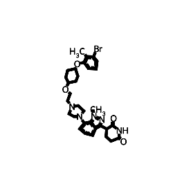 Cc1c(Br)cccc1OC1CCC(OCCN2CCN(c3cccc4c(C5CCC(=O)NC5=O)nn(C)c34)CC2)CC1